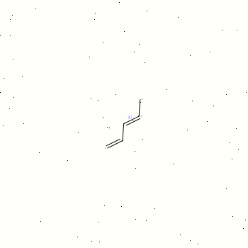 [CH]=C/C=[C]/[CH2]